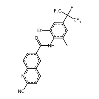 CCc1cc(C(F)(C(F)(F)F)C(F)(F)F)cc(C)c1NC(=O)c1ccc2nc(C#N)ccc2c1